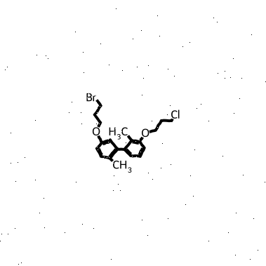 Cc1ccc(OCCCBr)cc1-c1cccc(OCCCCl)c1C